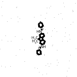 CC1(C)c2cc(NOc3ccccc3)ccc2-c2ccc(NOc3ccccc3)cc21